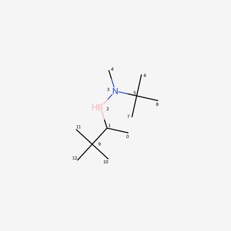 CC(BN(C)C(C)(C)C)C(C)(C)C